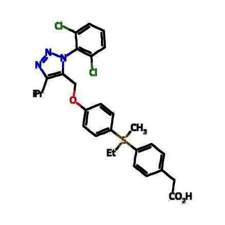 CCS(C)(c1ccc(CC(=O)O)cc1)c1ccc(OCc2c(C(C)C)nnn2-c2c(Cl)cccc2Cl)cc1